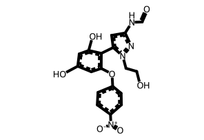 O=CNc1cc(-c2c(O)cc(O)cc2Oc2ccc([N+](=O)[O-])cc2)n(CCO)n1